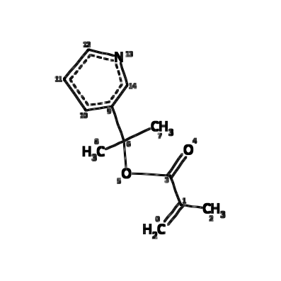 C=C(C)C(=O)OC(C)(C)c1cccnc1